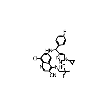 CC(F)(F)CNc1c(C#N)cnc2c(Cl)cc(N[C@@H](c3ccc(F)cc3)c3cn(C4CC4)nn3)cc12